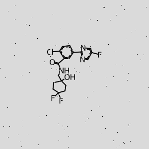 O=C(NCC1(O)CCC(F)(F)CC1)c1cc(-c2ncc(F)cn2)ccc1Cl